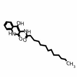 CCCCCCCCCCCCC(=O)Nc1c(O)c2ccccc2[nH]c1=O